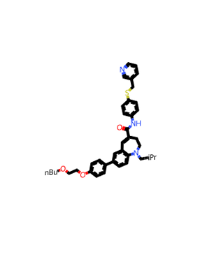 CCCCOCCOc1ccc(-c2ccc3c(c2)C=C(C(=O)Nc2ccc(SCc4cccnc4)cc2)CCN3CC(C)C)cc1